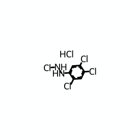 Cl.ClNNc1cc(Cl)c(Cl)cc1Cl